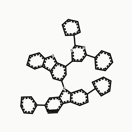 c1c(-c2ccccc2)cc2c(c#1)c1ccc(-c3ccccc3)cc1n2-c1cc(-c2cc(-c3ccccc3)nc(-c3ccccc3)n2)c2sc3ccccc3c2c1